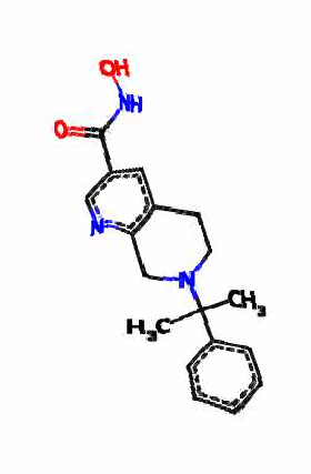 CC(C)(c1ccccc1)N1CCc2cc(C(=O)NO)cnc2C1